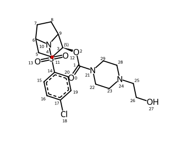 O=C(O[C@H]1CCC2CCC1N2S(=O)(=O)c1ccc(Cl)cc1)N1CCN(CCO)CC1